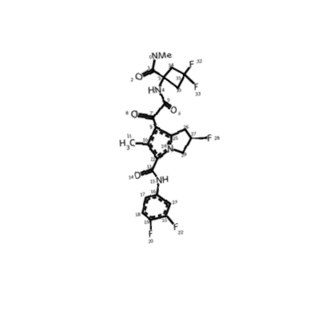 CNC(=O)C1(NC(=O)C(=O)c2c(C)c(C(=O)Nc3ccc(F)c(F)c3)n3c2C[C@@H](F)C3)CC(F)(F)C1